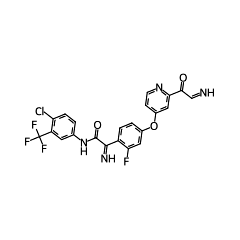 N=CC(=O)c1cc(Oc2ccc(C(=N)C(=O)Nc3ccc(Cl)c(C(F)(F)F)c3)c(F)c2)ccn1